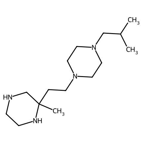 CC(C)CN1CCN(CCC2(C)CNCCN2)CC1